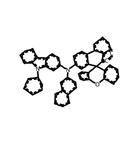 c1ccc(-n2c3ccccc3c3ccc(N(c4ccc5c(c4)C4(c6ccccc6Oc6ccccc64)c4cccc6cccc-5c46)c4ccc5ccccc5c4)cc32)cc1